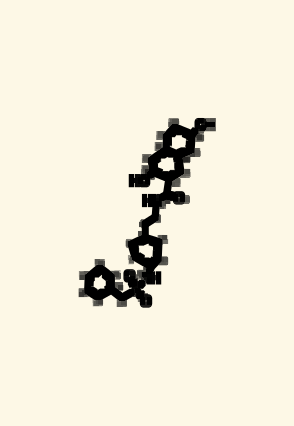 O=C(NCCc1ccc(NS(=O)(=O)Cc2ccccc2)cc1)c1cc2cc(O)ccc2cc1O